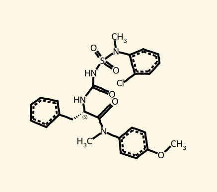 COc1ccc(N(C)C(=O)[C@H](Cc2ccccc2)NC(=O)NS(=O)(=O)N(C)c2ccccc2Cl)cc1